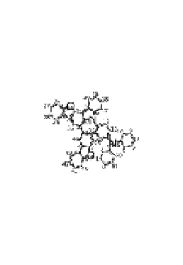 c1ccc(N(c2ccccc2)c2ccc(-n3c4ccccc4c4c5oc6ccccc6c5cc(-c5ccc6oc7ccccc7c6c5)c43)cc2)cc1